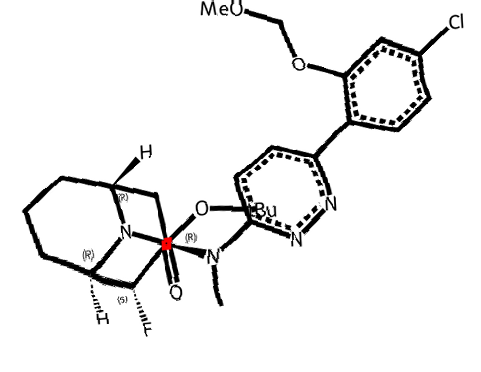 COCOc1cc(Cl)ccc1-c1ccc(N(C)[C@@H]2C[C@H]3CCC[C@H]([C@H]2F)N3C(=O)OC(C)(C)C)nn1